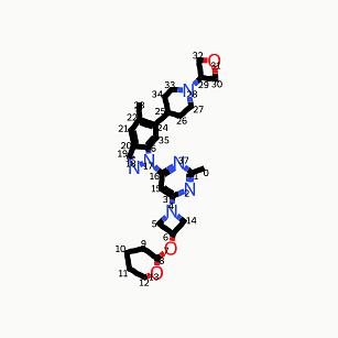 Cc1nc(N2CC(OC3CCCCO3)C2)cc(-n2ncc3cc(C)c(C4CCN(C5COC5)CC4)cc32)n1